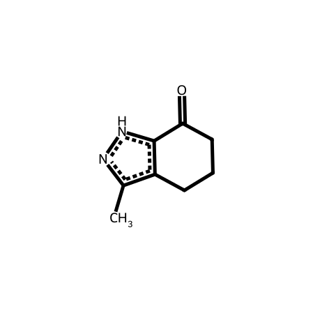 Cc1n[nH]c2c1CCCC2=O